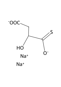 O=C([O-])CC(O)C([O-])=S.[Na+].[Na+]